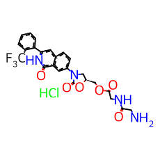 Cl.NCC(=O)NCC(=O)OC[C@@H]1CN(c2ccc3cc(-c4ccccc4C(F)(F)F)[nH]c(=O)c3c2)C(=O)O1